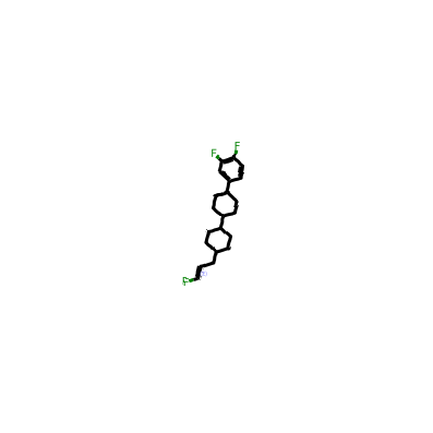 F/C=C/CC1CCC(C2CCC(c3ccc(F)c(F)c3)CC2)CC1